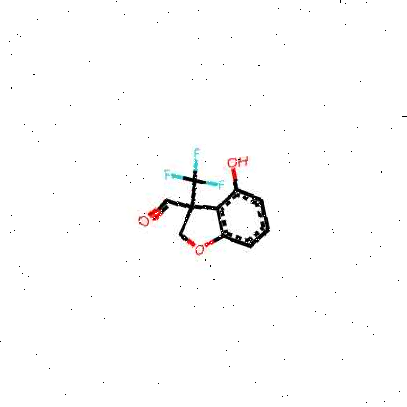 O=CC1(C(F)(F)F)COc2cccc(O)c21